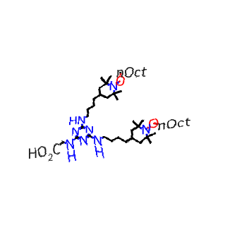 CCCCCCCCON1C(C)(C)CC(CCCCNc2nc(NCCCCC3CC(C)(C)N(OCCCCCCCC)C(C)(C)C3)nc(NCC(=O)O)n2)CC1(C)C